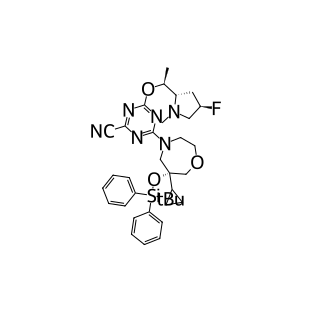 C[C@H](Oc1nc(C#N)nc(N2CCOC[C@@](O[Si](c3ccccc3)(c3ccccc3)C(C)(C)C)(C3CC3)C2)n1)[C@@H]1C[C@@H](F)CN1C